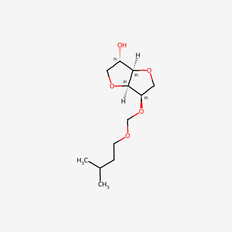 CC(C)CCOCO[C@@H]1CO[C@H]2[C@@H]1OC[C@@H]2O